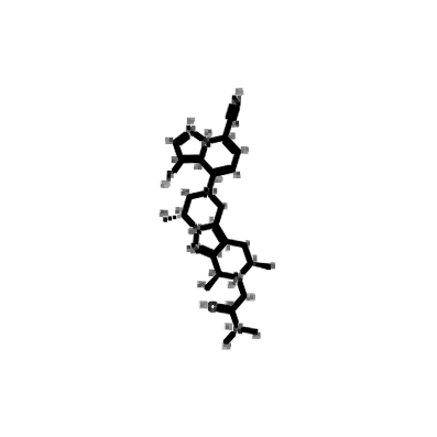 C[C@@H]1Cc2c(nn3c2CN(c2ccc(C#N)n4ncc(F)c24)C[C@H]3C)[C@H](C)N1CC(=O)N(C)C